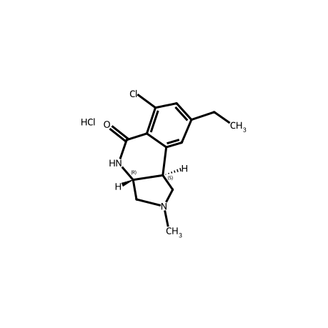 CCc1cc(Cl)c2c(c1)[C@H]1CN(C)C[C@@H]1NC2=O.Cl